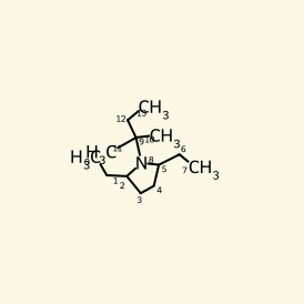 CCC1CCC(CC)N1C(C)(C)CC